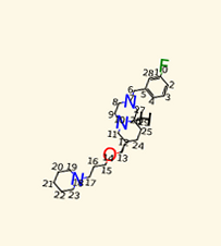 Fc1cccc(CN2CCN3C[C@H](COCCCN4CCCCC4)CC[C@H]3C2)c1